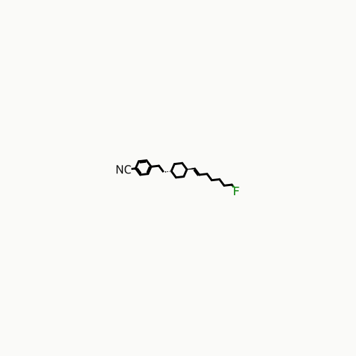 N#Cc1ccc(CC[C@H]2CC[C@H](/C=C/CCCCCF)CC2)cc1